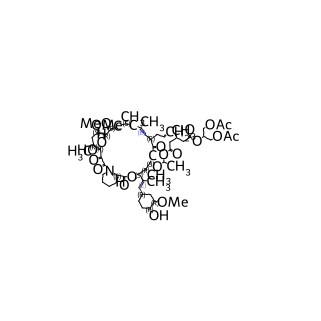 C=CC[C@@H]1/C=C(\C)C[C@H](C)C[C@H](OC)[C@H]2O[C@@](O)(C(=O)C(=O)N3CCCC[C@H]3C(=O)O[C@H](/C(C)=C/[C@@H]3CC[C@@H](O)[C@H](OC)C3)[C@H](C)[C@@H](OC(C)OC(=O)CC(C)CC(=O)OC(COC(C)=O)COC(C)=O)CC1=O)[C@H](C)C[C@@H]2OC